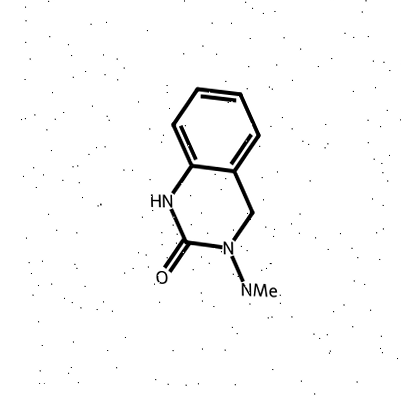 CNN1Cc2ccccc2NC1=O